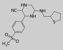 CS(=O)(=O)c1ccc(C2NC(NCC3CCCS3)CNC2C#N)cc1